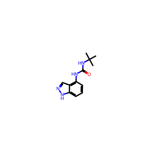 CC(C)(C)NC(=O)Nc1cccc2[nH]ncc12